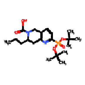 CCCC1Cc2nc(P(=O)(OC(C)(C)C)OC(C)(C)C)ccc2CN1C(=O)O